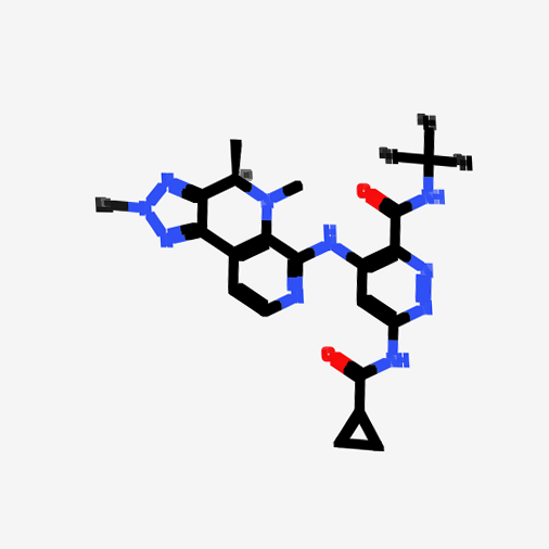 [2H]C([2H])([2H])NC(=O)c1nnc(NC(=O)C2CC2)cc1Nc1nccc2c1N(C)[C@H](C)c1nn(CC)nc1-2